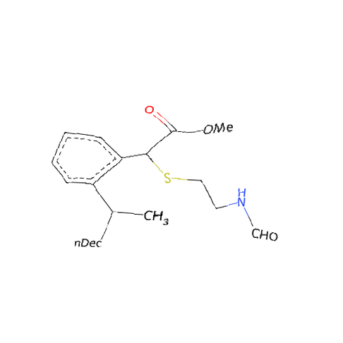 CCCCCCCCCCC(C)c1ccccc1C(SCCNC=O)C(=O)OC